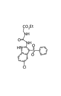 CCOC(=O)CNC(=O)Nc1[nH]c2ccc(Cl)cc2c1S(=O)(=O)c1ccccc1